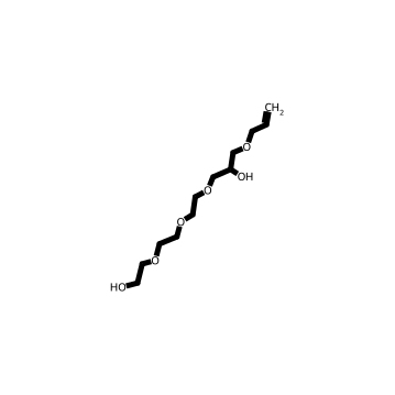 C=CCOCC(O)COCCOCCOCCO